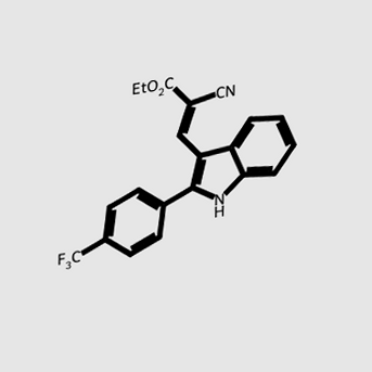 CCOC(=O)C(C#N)=Cc1c(-c2ccc(C(F)(F)F)cc2)[nH]c2ccccc12